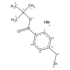 Br.CC(C)(C)OC(=O)c1ccc([CH2][Zn])cc1